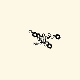 CON(C)C(=O)[C@@H](Cc1ccccc1)[C@H](NC(=O)c1cc2cc(Cl)ccc2[nH]1)OCC(=O)OCc1ccccc1